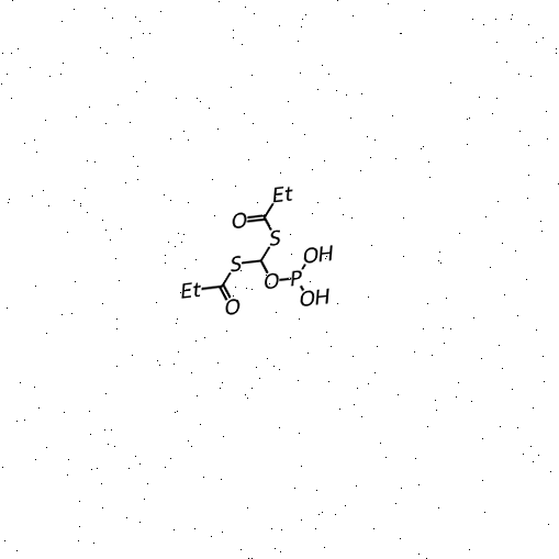 CCC(=O)SC(OP(O)O)SC(=O)CC